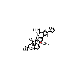 COc1ccccc1C(C)(C(=O)NCC1(O)COC1)n1ncc2c1nc(N)n1nc(-c3ccco3)nc21